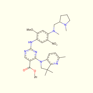 COc1cc(N(C)CC2CCCN2C)c([N+](=O)[O-])cc1Nc1ncc(C(=O)OC(C)C)c(N2CC(C)(C)c3nc(C)ccc32)n1